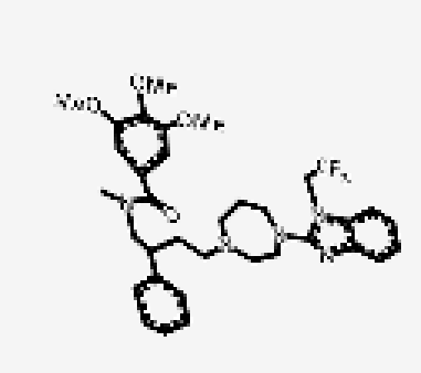 COc1cc(C(=O)N(C)CC(CCN2CCCN(c3nc4ccccc4n3CC(F)(F)F)CC2)c2ccccc2)cc(OC)c1OC